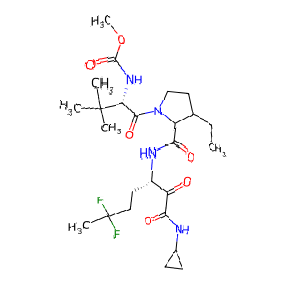 CCC1CCN(C(=O)[C@@H](NC(=O)OC)C(C)(C)C)C1C(=O)N[C@@H](CCC(C)(F)F)C(=O)C(=O)NC1CC1